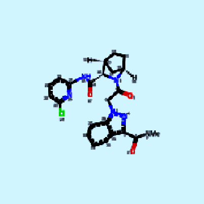 CNC(=O)c1nn(CC(=O)N2[C@@H]3CC[C@@H](C3)[C@H]2C(=O)Nc2cccc(Cl)n2)c2ccccc12